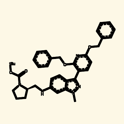 Cn1nc(-c2ccc(OCc3ccccc3)nc2OCc2ccccc2)c2ccc(NC[C@H]3CCCN3C(=O)OC(C)(C)C)cc21